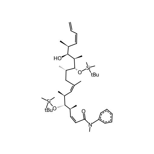 C=C/C=C\[C@H](C)[C@H](O)[C@@H](C)[C@H](O[Si](C)(C)C(C)(C)C)[C@@H](C)C/C(C)=C\[C@H](C)[C@@H](O[Si](C)(C)C(C)(C)C)[C@@H](C)/C=C\C(=O)N(C)c1ccccc1